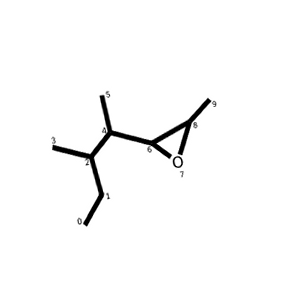 CCC(C)C(C)C1OC1C